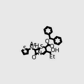 CCC(O)C1=CN2C(=O)C(N(C(C)=O)c3cccs3)[C@H]2SC1C(=O)OC(c1ccccc1)c1ccccc1